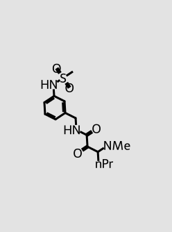 CCCC(NC)C(=O)C(=O)NCc1cccc(NS(C)(=O)=O)c1